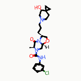 C[C@H]1C(=O)N2[C@@H](CCCN3CCC4(CC4)[C@H](O)C3)CO[C@H]2CN1C(=O)Nc1cccc(Cl)c1